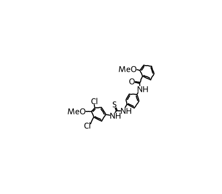 COc1ccccc1C(=O)Nc1ccc(NC(=S)Nc2cc(Cl)c(OC)c(Cl)c2)cc1